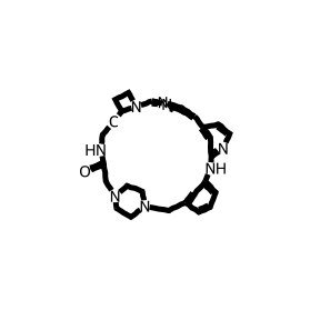 O=C1CN2CCN(CC2)Cc2cccc(c2)Nc2cc(ccn2)-c2cnc(nc2)N2CCC2CCN1